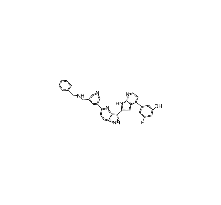 Oc1cc(F)cc(-c2ccnc3[nH]c(-c4n[nH]c5ccc(-c6cncc(CNCc7ccccc7)c6)nc45)cc23)c1